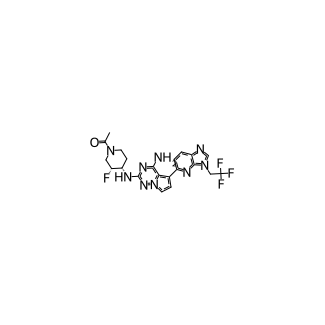 CC(=O)N1CC[C@H](Nc2nc(N)c3c(-c4ccc5ncn(CC(F)(F)F)c5n4)ccn3n2)[C@H](F)C1